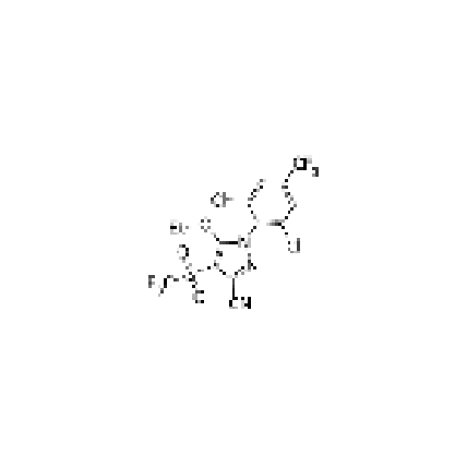 CCOc1c(S(=O)(=O)C(F)(F)F)c(C#N)nn1-c1c(Cl)cc(C(F)(F)F)cc1Cl